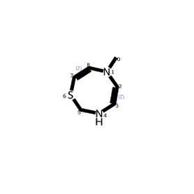 CN1/C=C\NCS/C=C\1